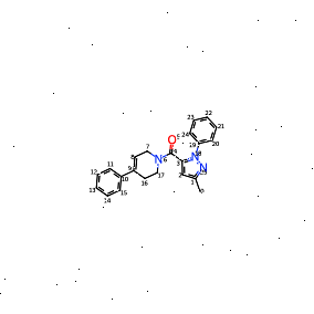 Cc1cc(C(=O)N2CC=C(c3ccccc3)CC2)n(-c2ccccc2)n1